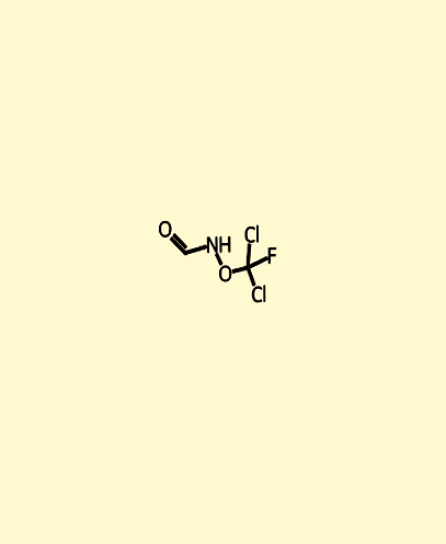 O=CNOC(F)(Cl)Cl